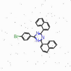 Brc1ccc(-c2nc(-c3cccc4ccccc34)nc(-c3cccc4ccccc34)n2)cc1